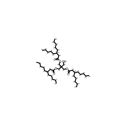 CCCCCC(CCCCC)CC(=O)OCC(CO)(COC(=O)CC(CCCCC)CCCCC)COC(=O)CC(CCCCC)CCCCC